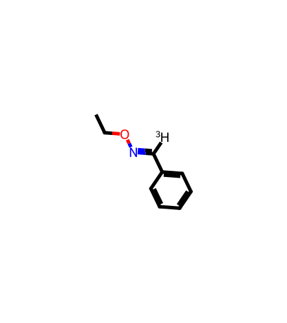 [3H]C(=NOCC)c1ccccc1